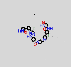 O=C1CC[C@H](Nc2ccc(C3CCN(CC4CCN(C(=O)[C@H]5CC[C@H](Nc6ncc(F)c(-c7cccc(-c8ccc[nH]c8=O)c7)n6)CC5)CC4)CC3)c(F)c2)C(=O)N1